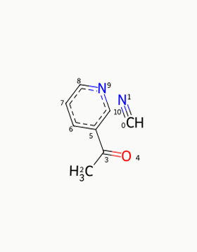 C#N.CC(=O)c1cccnc1